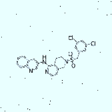 O=S(=O)(Cc1cc(Cl)cc(Cl)c1)N1CCc2c(ccnc2Nc2cnc3ccccc3c2)C1